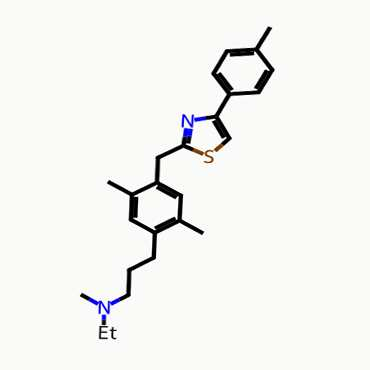 CCN(C)CCCc1cc(C)c(Cc2nc(-c3ccc(C)cc3)cs2)cc1C